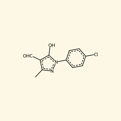 Cc1nn(-c2ccc(Cl)cc2)c(O)c1C=O